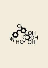 CN(C)c1ccc(Cc2cc([C@@H]3O[C@H](CO)[C@@H](O)[C@H](O)[C@H]3O)ccc2Cl)cc1